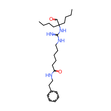 CCCCC(C=O)(CCCC)NC(=N)NCCCCCC(=O)NCCc1ccccc1